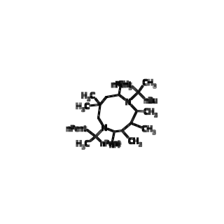 CCCCCC(C)(CCCCC)N1CC(C)(C)CC(C)N(C(C)(CCCC)CCCCC)C(C)C(C)C(C)C1CCC